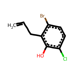 C=CCc1c(Br)ccc(Cl)c1O